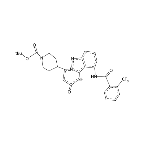 CC(C)(C)OC(=O)N1CCC(c2cc(=O)[nH]c3c4c(NC(=O)c5ccccc5C(F)(F)F)cccc4nn23)CC1